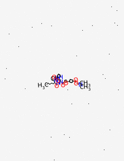 CCCCCC(C(=O)NCNC(=O)c1ccc(-c2ccc(C(=O)OCCN(C)C)cc2)o1)[C@@H](CC)N(C=O)OCc1ccccc1